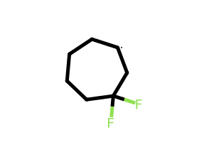 FC1(F)C[CH]CCCC1